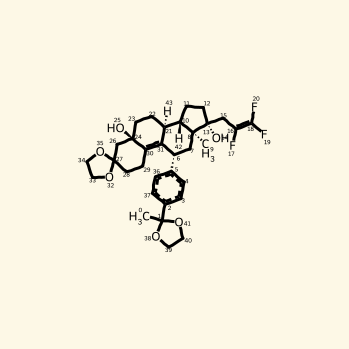 CC1(c2ccc([C@H]3C[C@@]4(C)[C@@H](CC[C@@]4(O)CC(F)=C(F)F)[C@@H]4CC[C@@]5(O)CC6(CCC5=C43)OCCO6)cc2)OCCO1